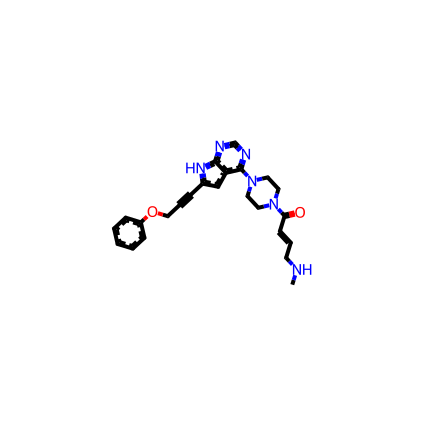 CNCC=CC(=O)N1CCN(c2ncnc3[nH]c(C#CCOc4ccccc4)cc23)CC1